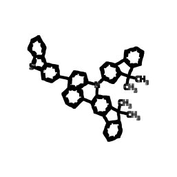 CC1(C)c2ccccc2-c2ccc(N(c3ccc(-c4ccc5sc6ccccc6c5c4)cc3)c3cc4c(cc3-c3ccccc3)-c3ccccc3C4(C)C)cc21